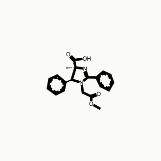 COC(=O)CN1C(c2ccccc2)=N[C@](C)(C(=O)O)[C@@H]1c1ccccc1